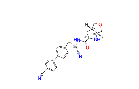 N#Cc1ccc(-c2ccc(C[C@@H](C#N)NC(=O)[C@H]3C[C@@H]4COC[C@@H]4N3)cc2)cc1